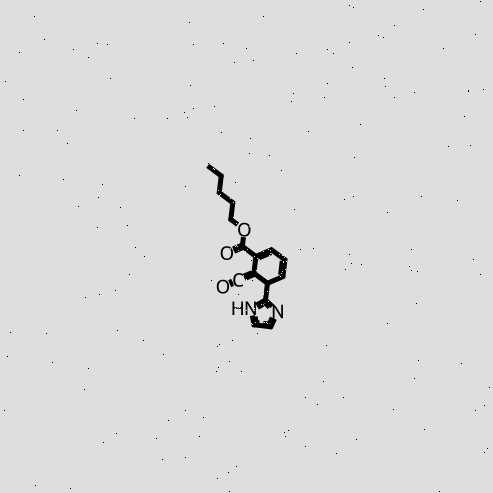 CCCCCOC(=O)C1=CC=CC(c2ncc[nH]2)C1=C=O